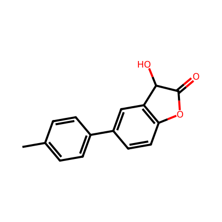 Cc1ccc(-c2ccc3c(c2)C(O)C(=O)O3)cc1